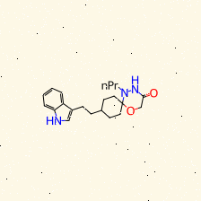 CCCN1NC(=O)COC12CCC(CCc1c[nH]c3ccccc13)CC2